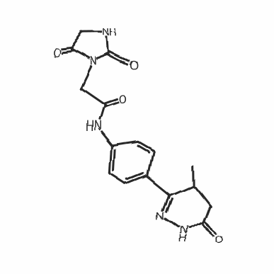 CC1CC(=O)NN=C1c1ccc(NC(=O)CN2C(=O)CNC2=O)cc1